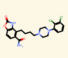 NC(=O)c1ccc2oc(=O)[nH]c2c1CCCCN1CCN(c2cccc(Cl)c2Cl)CC1